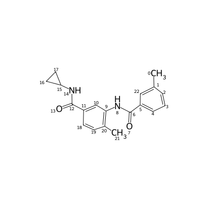 Cc1cccc(C(=O)Nc2cc(C(=O)NC3CC3)ccc2C)c1